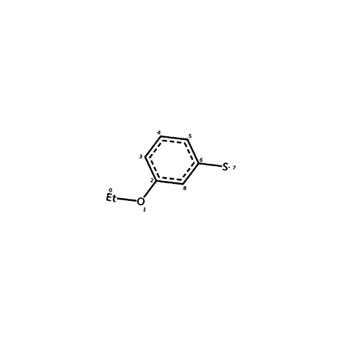 CCOc1cccc([S])c1